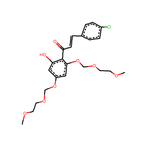 COCCOCOc1cc(O)c(C(=O)/C=C/c2ccc(Cl)cc2)c(OCOCCOC)c1